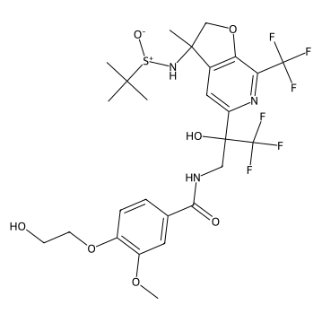 COc1cc(C(=O)NCC(O)(c2cc3c(c(C(F)(F)F)n2)OCC3(C)N[S+]([O-])C(C)(C)C)C(F)(F)F)ccc1OCCO